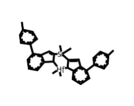 Cc1ccc(-c2cccc3c2C=C2[CH]3[Hf]([CH3])([CH3])[CH]3C(=Cc4c(-c5ccc(C)cc5)cccc43)[Si]2(C)C)cc1